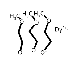 COCC[O-].COCC[O-].COCC[O-].[Dy+3]